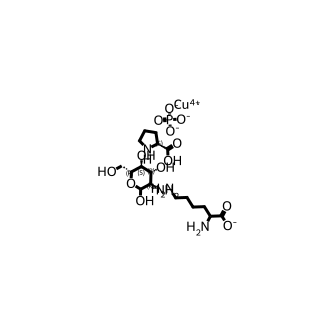 NCCCCC(N)C(=O)[O-].N[C@H]1C(O)O[C@H](CO)[C@@H](O)[C@@H]1O.O=C(O)[C@@H]1CCCN1.O=P([O-])([O-])[O-].[Cu+4]